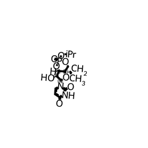 C=C(C)[C@@]12COP(=O)(OC(C)C)O[C@H]1[C@@H](O)[C@H](n1ccc(=O)[nH]c1=O)O2